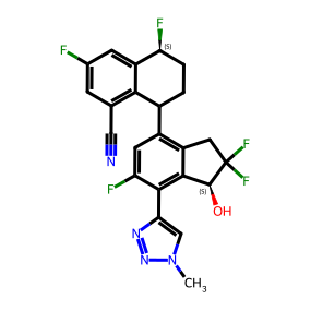 Cn1cc(-c2c(F)cc(C3CC[C@H](F)c4cc(F)cc(C#N)c43)c3c2[C@H](O)C(F)(F)C3)nn1